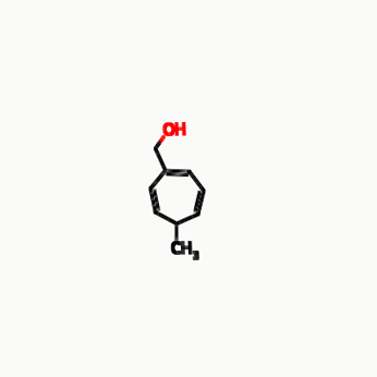 CC1C=CC=C(CO)C=C1